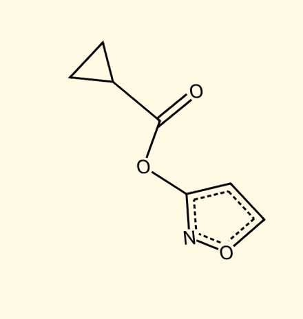 O=C(Oc1ccon1)C1CC1